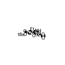 CCc1[nH]c2nc(C3=COCCO3)nn2c(=O)c1N1CCN(C(=O)OC(C)(C)C)CC1